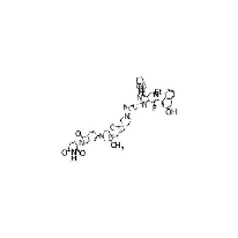 CCc1cccc2cc(O)cc(-c3ncc4c(N5CC6CCC(C5)N6)nc(OCC5(CN6CCC7(CC6)CC(CN6[C@@H](C)CN(c8ccc9c(c8)CN([C@H]8CCC(=O)NC8=O)C9=O)C[C@@H]6C)C7)CC5)nc4c3F)c12